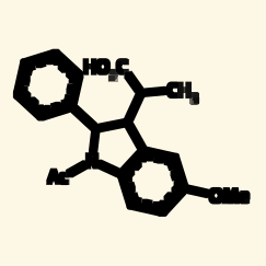 COc1ccc2c(c1)C(C(C)C(=O)O)C(c1ccccc1)N2C(C)=O